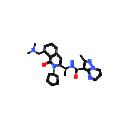 Cc1nn2cccnc2c1C(=O)N[C@@H](C)c1cc2cccc(CN(C)C)c2c(=O)n1-c1ccccc1